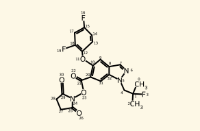 CC(C)(F)Cn1ncc2cc(Oc3ccc(F)cc3F)c(C(=O)ON3C(=O)CCC3=O)cc21